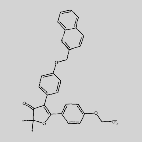 CC1(C)OC(c2ccc(OCC(F)(F)F)cc2)=C(c2ccc(OCc3ccc4ccccc4n3)cc2)C1=O